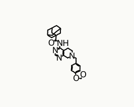 O=C(Nc1ncnc2c1CCN(Cc1ccc3c(c1)OCO3)C2)C12CC3CC(CC(C3)C1)C2